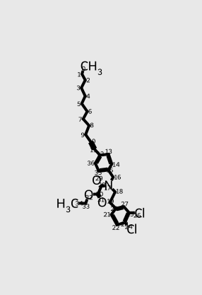 CCCCCCCCCCC#Cc1ccc(CN(CCc2ccc(Cl)c(Cl)c2)C(=O)C(=O)OCC)cc1